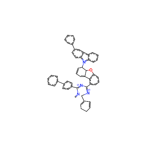 C=N/C(=N\C(=N/CC1=CCCC=C1)c1cccc2c1C1=CC=CC(n3c4ccccc4c4cc(-c5ccccc5)ccc43)C1O2)c1ccc(-c2ccccc2)cc1